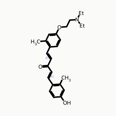 CCN(CC)CCOc1ccc(/C=C/C(=O)/C=C/c2ccc(O)cc2C)c(C)c1